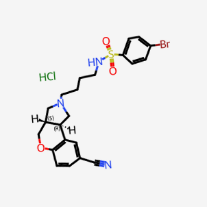 Cl.N#Cc1ccc2c(c1)[C@@H]1CN(CCCCNS(=O)(=O)c3ccc(Br)cc3)C[C@H]1CO2